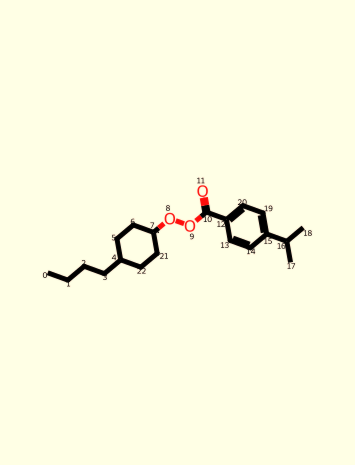 CCCCC1CC[C](OOC(=O)c2ccc(C(C)C)cc2)CC1